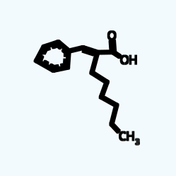 CCCCCC/C(=C\c1ccccc1)C(=O)O